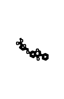 COC(=O)c1ccc(COc2ccc3c(=O)c(-c4ccccc4)coc3c2)o1